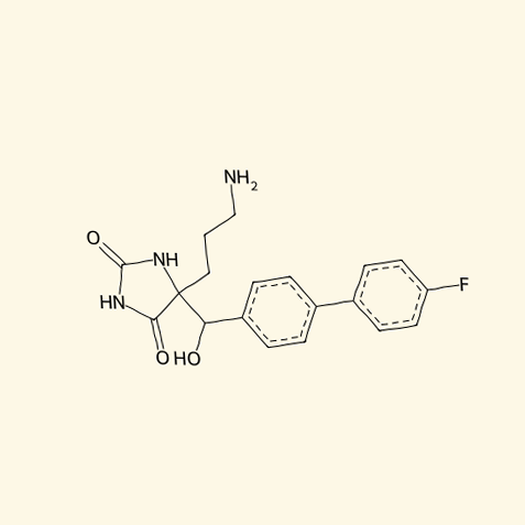 NCCCC1(C(O)c2ccc(-c3ccc(F)cc3)cc2)NC(=O)NC1=O